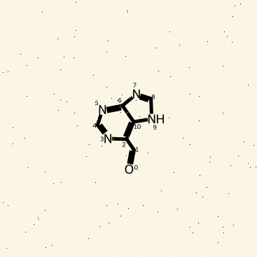 O=Cc1ncnc2nc[nH]c12